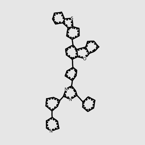 c1ccc(-c2cc(-c3ccc(-c4ccc(-c5ccc6sc7ccccc7c6c5)c5c4oc4ccccc45)cc3)nc(-c3cccc(-c4ccncc4)c3)n2)cc1